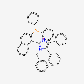 c1ccc(Cn2c(-c3c(P(c4ccccc4)c4ccccc4)ccc4ccccc34)nc(-c3ccccc3)c2-c2ccccc2)cc1